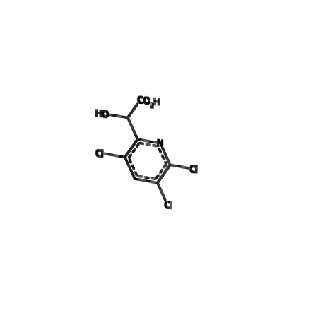 O=C(O)C(O)c1nc(Cl)c(Cl)cc1Cl